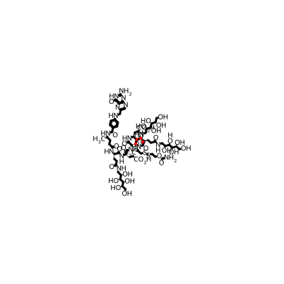 C[C@H](CCC(=O)N[C@@H](CCC(=O)NC[C@H](O)[C@@H](O)[C@H](O)[C@H](O)CO)C(=O)N[C@@H](CCC(=O)O)C(=O)N[C@@H](CCC(=O)NC[C@H](O)[C@@H](O)[C@H](O)[C@H](O)CO)C(=O)N[C@@H](CCC(=O)O)C(=O)N[C@@H](CCC(=O)NC[C@H](O)[C@@H](O)[C@H](O)[C@H](O)CO)C(=O)N[C@H](C)CSSCCOC(N)=O)NC(=O)c1ccc(NCc2cnc3nc(N)[nH]c(=O)c3n2)cc1